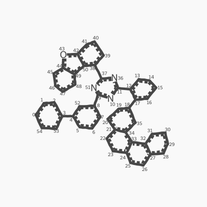 c1ccc(-c2cccc(-c3nc(-c4ccccc4-c4ccc5ccc6ccc7ccccc7c6c5c4)nc(-c4cccc5oc6ccccc6c45)n3)c2)cc1